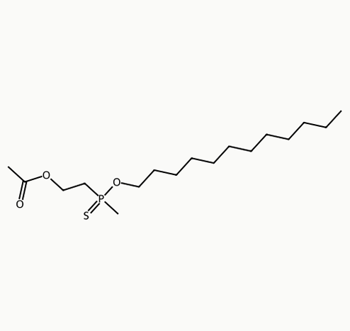 CCCCCCCCCCCCOP(C)(=S)CCOC(C)=O